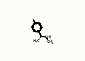 [CH2-][NH2+][C@H](C)c1ccc(F)cc1